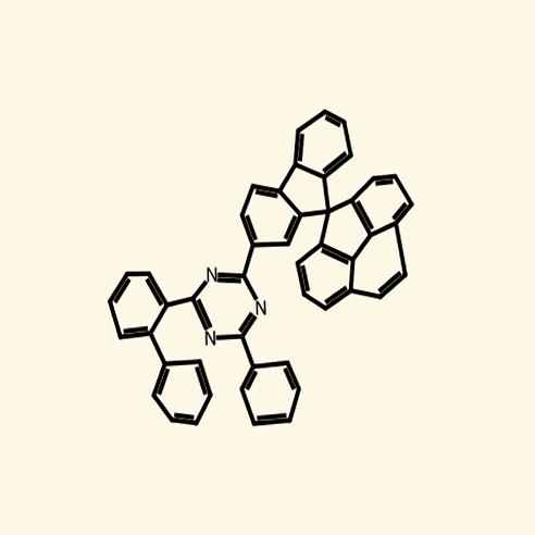 c1ccc(-c2nc(-c3ccc4c(c3)C3(c5ccccc5-4)c4cccc5ccc6cccc3c6c45)nc(-c3ccccc3-c3ccccc3)n2)cc1